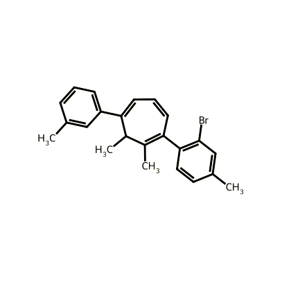 CC1=C(c2ccc(C)cc2Br)C=CC=C(c2cccc(C)c2)C1C